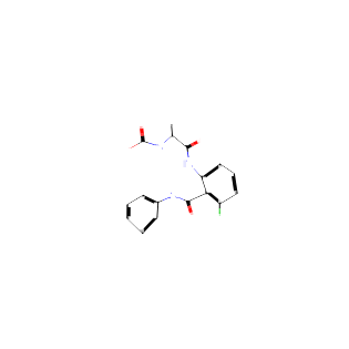 CC(NC(=O)O)C(=O)Nc1cccc(Cl)c1C(=O)Nc1ccccc1